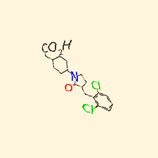 O=C(O)CC1CCC(N2CCC(Cc3c(Cl)cccc3Cl)C2=O)CC1